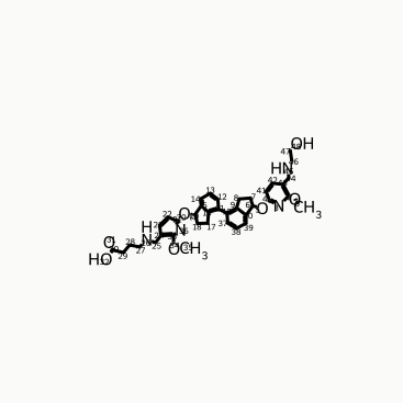 COc1nc(OC2CCc3c(-c4cccc5c4CC[C@@H]5Oc4ccc(CNCCCC(=O)O)c(OC)n4)cccc32)ccc1CNCCO